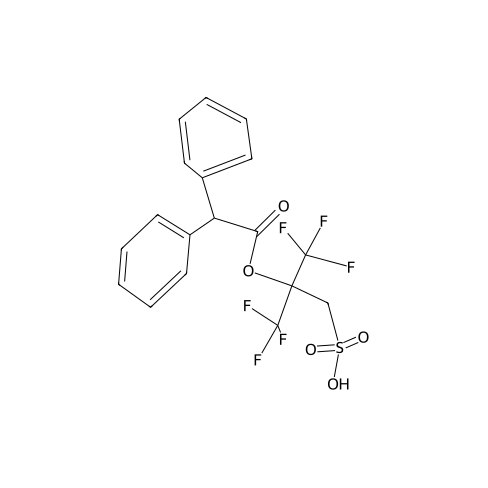 O=C(OC(CS(=O)(=O)O)(C(F)(F)F)C(F)(F)F)C(c1ccccc1)c1ccccc1